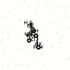 COC(=O)N1CC2CC(c3ccc(CCCOc4c(F)ccc(F)c4F)cc3)=C(C(=O)NC3(Cc4ccccc4Cl)CC3)[C@@H](C1)N2